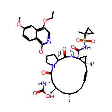 CCOc1cnc(O[C@@H]2C[C@H]3C(=O)N[C@]4(C(=O)NS(=O)(=O)C5(C)CC5)C[C@H]4C=CCC[C@H](C)C[C@@H](C)[C@H](NC(=O)O)C(=O)N3C2)c2ccc(OC)cc12